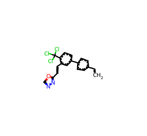 C=Cc1ccc(-c2ccc(C(Cl)(Cl)Cl)c(C=Cc3nnco3)c2)cc1